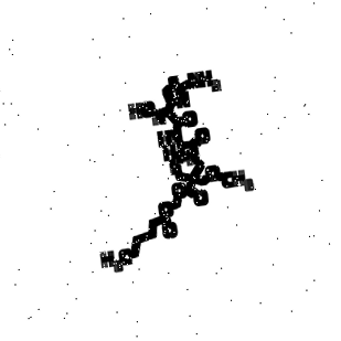 CCCCCC(=O)OCOC(=O)C1(COC)CS[C@@H]2C(NC(=O)C(=NO)c3csc(N)n3)C(=O)N2C1